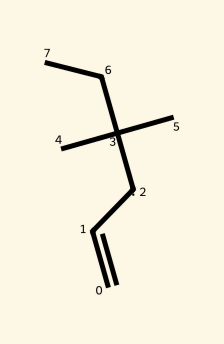 C=C[CH]C(C)(C)CC